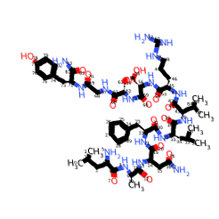 CC(C)CC(N)C(=O)N[C@@H](C)C(=O)NC(CC(N)=O)C(=O)N[C@@H](Cc1ccccc1)C(=O)N[C@@H](CC(C)C)C(=O)N[C@H](C(=O)N[C@@H](CCCNC(=N)N)C(=O)N[C@@H](CO)C(=O)N[C@@H](CO)C(=O)NCC(=O)N[C@@H](Cc1ccc(O)cc1)C(N)=O)C(C)C